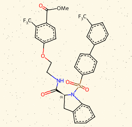 COC(=O)c1ccc(OCCNC(=O)[C@@H]2Cc3ccccc3N2S(=O)(=O)c2ccc(-c3cccc(C(F)(F)F)c3)cc2)cc1C(F)(F)F